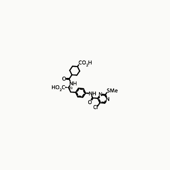 CSc1ncc(Cl)c(C(=O)Nc2ccc(C[C@H](NC(=O)C3CCC(C(=O)O)CC3)C(=O)O)cc2)n1